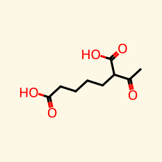 CC(=O)C(CCCCC(=O)O)C(=O)O